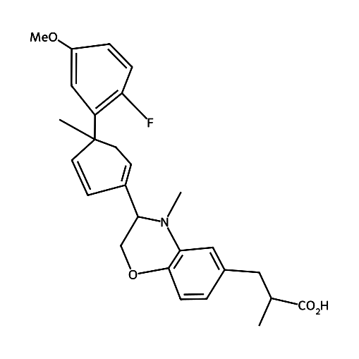 COc1ccc(F)c(C2(C)C=CC(C3COc4ccc(CC(C)C(=O)O)cc4N3C)=CC2)c1